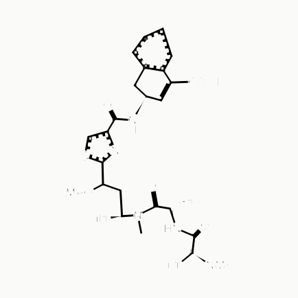 CCC(C)[C@H](NC(=O)[C@@H](NC)C(C)C)C(=O)N(C)[C@H](CC(OC)c1nc(C(=O)N[C@@H]2C=C(C(=O)O)c3ccccc3C2)cs1)C(C)C